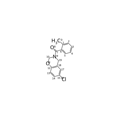 Cc1ccccc1C(=O)N1COc2ccc(Cl)cc2C1